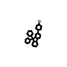 Brc1ccc(-c2ccc3c(c2)C(c2ccccc2)(c2ccccc2)c2ccccc2-3)cc1